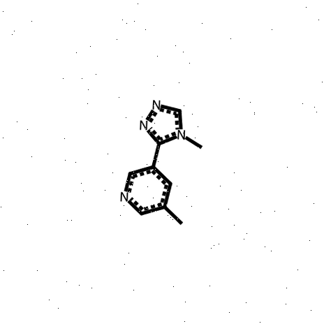 Cc1cncc(-c2nncn2C)c1